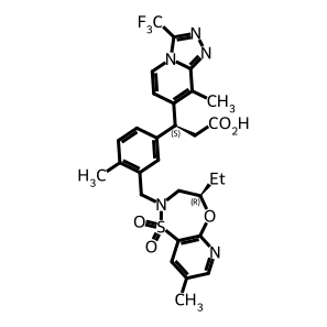 CC[C@@H]1CN(Cc2cc([C@H](CC(=O)O)c3ccn4c(C(F)(F)F)nnc4c3C)ccc2C)S(=O)(=O)c2cc(C)cnc2O1